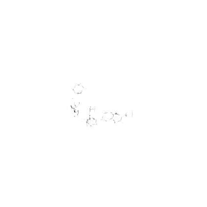 Cc1ccc2cc(-c3cnc(C4CCN(C(=O)OCc5ccccc5)C4)[nH]3)ccc2c1